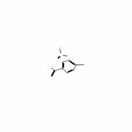 Nc1ccc(C(=O)O)cc1.O=S(O)O